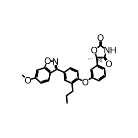 CCCc1cc(-c2noc3cc(OC)ccc23)ccc1Oc1cccc([C@@]2(C)OC(=O)NC2=O)c1